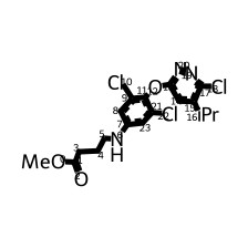 COC(=O)CCCNc1cc(Cl)c(Oc2cc(C(C)C)c(Cl)nn2)c(Cl)c1